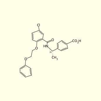 C[C@H](NC(=O)c1cc(Cl)ccc1OCCOc1ccccc1)c1ccc(C(=O)O)cc1